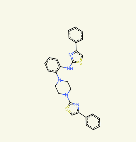 c1ccc(-c2csc(Nc3ccccc3N3CCN(c4nc(-c5ccccc5)cs4)CC3)n2)cc1